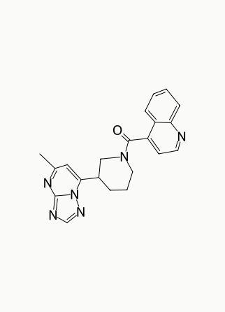 Cc1cc(C2CCCN(C(=O)c3ccnc4ccccc34)C2)n2ncnc2n1